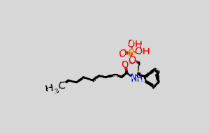 CCCCCCCCCC(=O)N[C@@H](COP(=O)(O)O)c1ccccc1